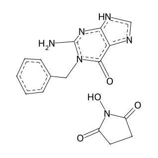 Nc1nc2[nH]cnc2c(=O)n1Cc1ccccc1.O=C1CCC(=O)N1O